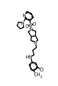 Cc1ccc(NCCCN2CC3CN(S(=O)(=O)c4cccnc4N4CCCC4)CC3C2)cc1Cl